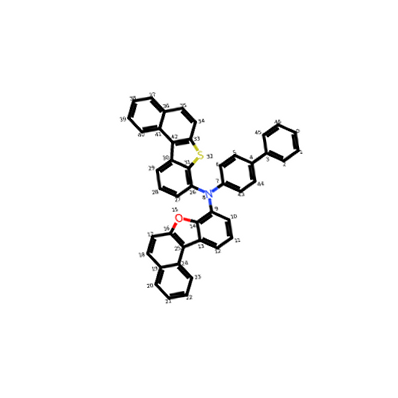 c1ccc(-c2ccc(N(c3cccc4c3oc3ccc5ccccc5c34)c3cccc4c3sc3ccc5ccccc5c34)cc2)cc1